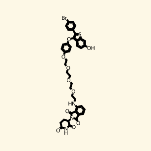 O=C1CCC(N2C(=O)c3cccc(NCCOCCOCCOCCOc4ccc(Oc5c(-c6ccc(Br)cc6)sc6cc(O)ccc56)cc4)c3C2=O)C(=O)N1